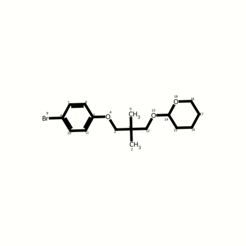 CC(C)(COc1ccc(Br)cc1)COC1CCCCO1